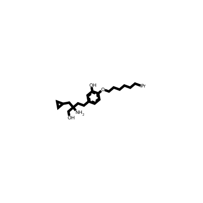 CC(C)CCCCCCOc1ccc(CCC(N)(CO)CC2CC2)cc1O